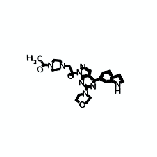 CC(=O)N1CCN(CC(=O)n2ncc3c(-c4ccc5cc[nH]c5c4)nc(N4CCOCC4)nc32)CC1